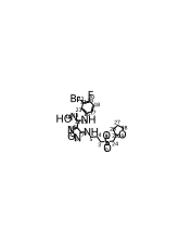 O=S(=O)(CCCNc1nonc1C(=NO)Nc1ccc(F)c(Br)c1)CC1CCCO1